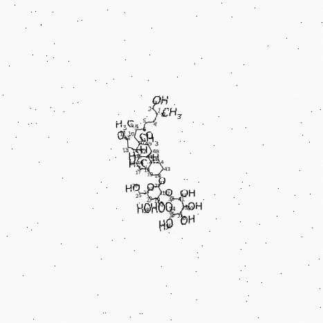 C[C@@H](CO)CCC(=O)[C@@H](C)[C@H]1C(=O)C[C@H]2[C@@H]3CC=C4CC(O[C@@H]5OC(CO)[C@@H](O)[C@H](O)C5O[C@@H]5OC(O)[C@H](O)[C@H](O)C5O)CC[C@]4(C)[C@H]3CC[C@]12C